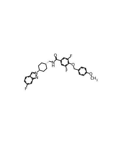 COc1ccc(COc2c(F)cc(C(=O)NC[C@H]3CC[C@H](n4cc5ccc(F)cc5n4)CC3)cc2F)cc1